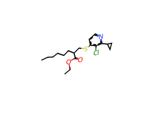 CCCCCCC(CSc1ccnc(C2CC2)c1Cl)C(=O)OCC